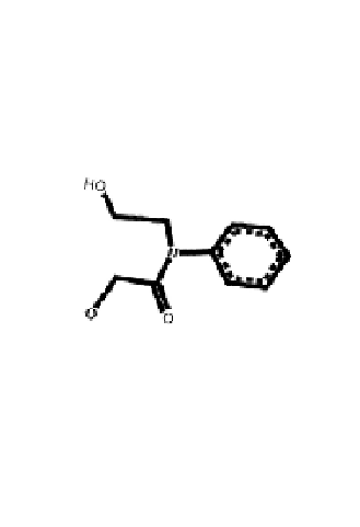 [O]CC(=O)N(CCO)c1ccccc1